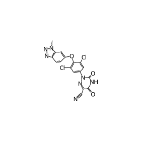 Cn1nnc2ccc(Oc3c(Cl)cc(-n4nc(C#N)c(=O)[nH]c4=O)cc3Cl)cc21